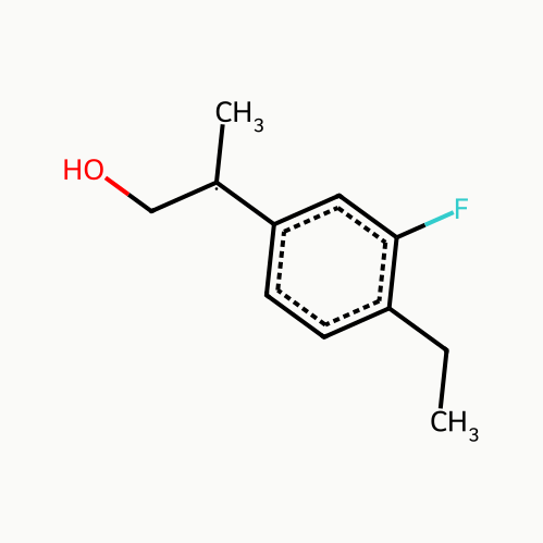 CCc1ccc([C](C)CO)cc1F